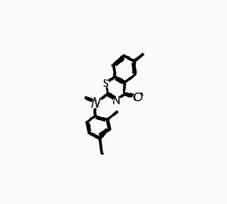 Cc1ccc(N(C)c2nc(=O)c3cc(C)ccc3s2)c(C)c1